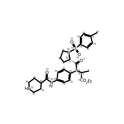 CCOC(=O)[C@H](C)N(C(=O)[C@@H]1CCCN1S(=O)(=O)c1ccc(C)cc1)c1ccc(NC(=O)C2CCNCC2)cc1